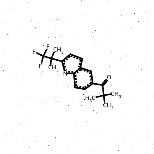 CC(C)(C)C(=O)c1ccc2nc(C(C)(C)C(F)(F)F)ccc2c1